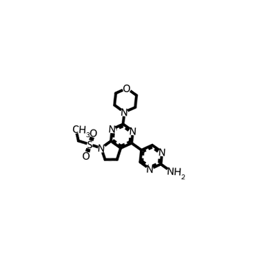 CCS(=O)(=O)N1CCc2c(-c3cnc(N)nc3)nc(N3CCOCC3)nc21